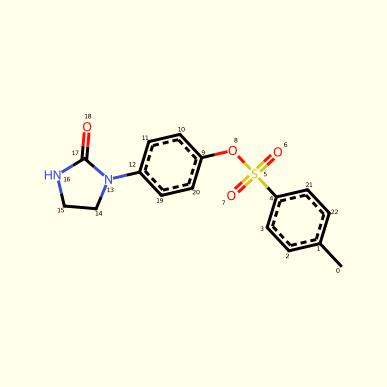 Cc1ccc(S(=O)(=O)Oc2ccc(N3CCNC3=O)cc2)cc1